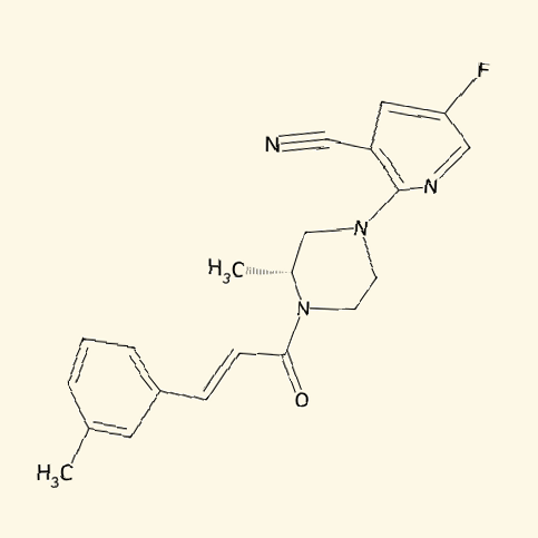 Cc1cccc(/C=C/C(=O)N2CCN(c3ncc(F)cc3C#N)C[C@H]2C)c1